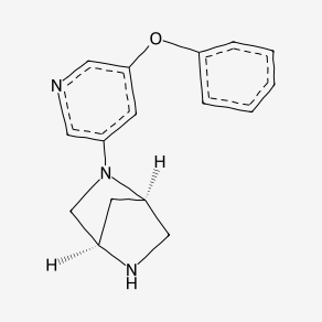 c1ccc(Oc2cncc(N3C[C@H]4C[C@@H]3CN4)c2)cc1